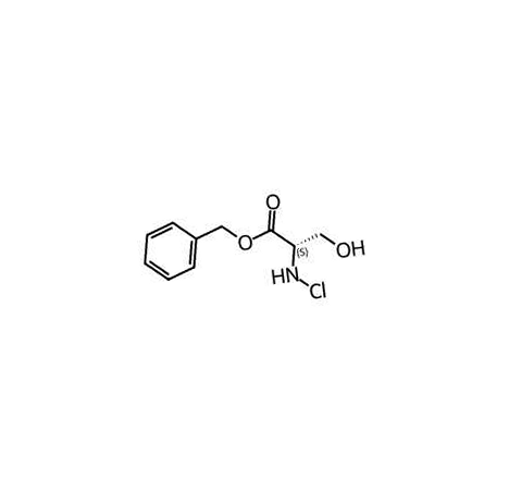 O=C(OCc1ccccc1)[C@H](CO)NCl